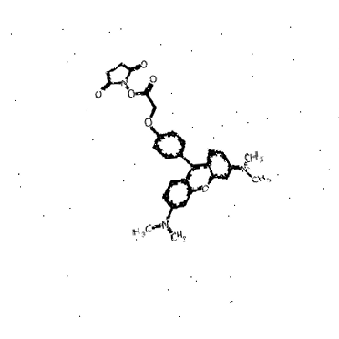 CN(C)c1ccc2c(-c3ccc(OCC(=O)ON4C(=O)CCC4=O)cc3)c3ccc(=[N+](C)C)cc-3oc2c1